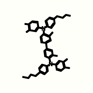 CCCCc1ccc(N(c2ccc(C)c(C)c2)c2ccc(-c3ccc(N(c4ccc(CCCC)cc4)c4ccc(C)c(C)c4)c(C)c3)cc2C)cc1